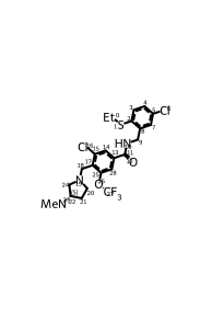 CCSc1ccc(Cl)cc1CNC(=O)c1cc(Cl)c(CN2CC[C@H](NC)C2)c(OC(F)(F)F)c1